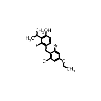 CCOc1cc(Cl)c(Cc2ccc(O)c(C(C)C)c2F)c(Br)c1